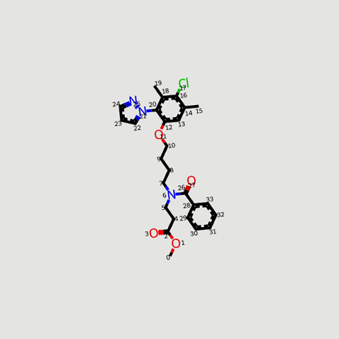 COC(=O)CCN(CCCCOc1cc(C)c(Cl)c(C)c1-n1cccn1)C(=O)c1ccccc1